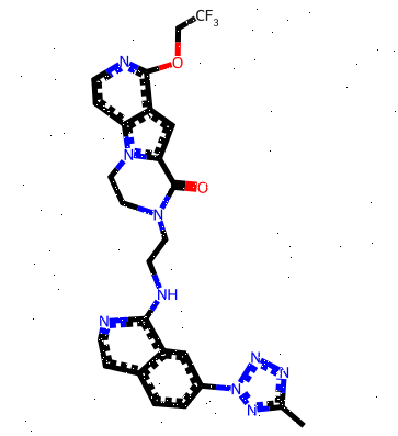 Cc1nnn(-c2ccc3ccnc(NCCN4CCn5c(cc6c(OCC(F)(F)F)nccc65)C4=O)c3c2)n1